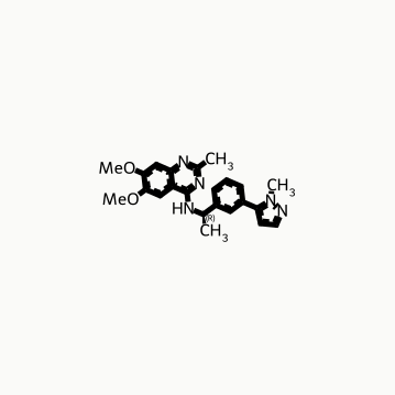 COc1cc2nc(C)nc(N[C@H](C)c3cccc(-c4ccnn4C)c3)c2cc1OC